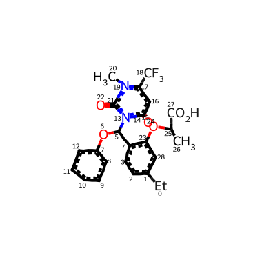 CCc1ccc(C(Oc2ccccc2)n2c(=O)cc(C(F)(F)F)n(C)c2=O)c(OC(C)C(=O)O)c1